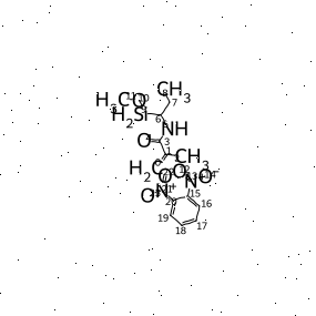 C=C(C)C(=O)NC(CC)[SiH2]OC.O=[N+]([O-])c1ccccc1[N+](=O)[O-]